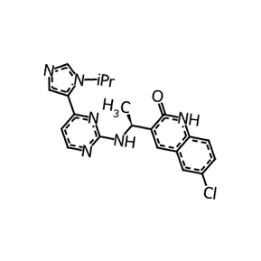 CC(C)n1cncc1-c1ccnc(N[C@@H](C)c2cc3cc(Cl)ccc3[nH]c2=O)n1